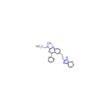 CN(CC(=O)O)c1cc(-c2ccccc2)c2cc(CCc3nc4ccccc4[nH]3)ccc2n1